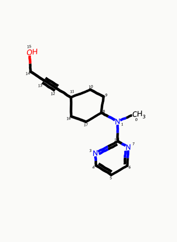 CN(c1ncccn1)C1CCC(C#CCO)CC1